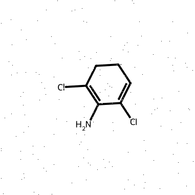 NC1=C(Cl)C[CH]C=C1Cl